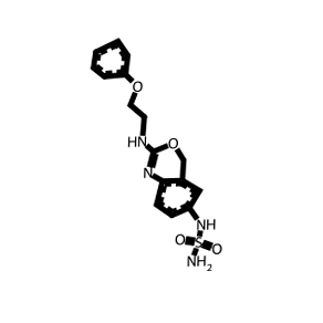 NS(=O)(=O)Nc1ccc2c(c1)COC(NCCOc1ccccc1)=N2